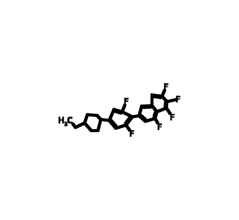 CCC1CCC(c2cc(F)c(-c3cc(F)c4c(F)c(F)c(F)cc4c3)c(F)c2)CC1